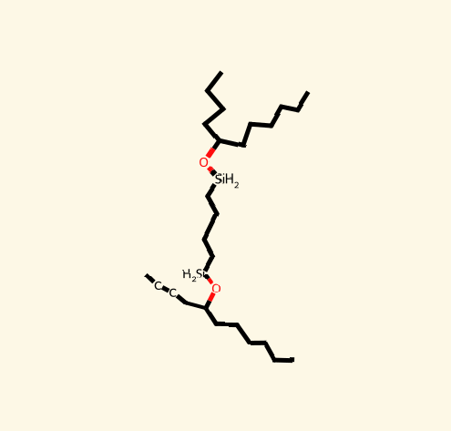 CCCCCCC(CCCC)O[SiH2]CCCC[SiH2]OC(CCCC)CCCCCC